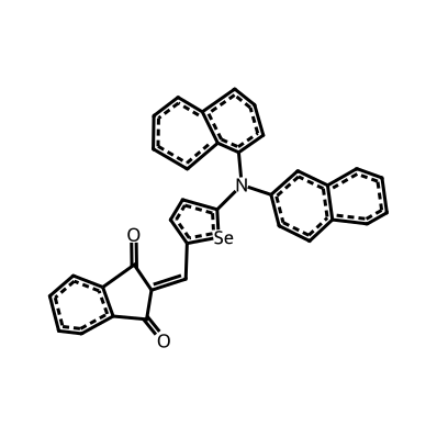 O=C1C(=Cc2ccc(N(c3ccc4ccccc4c3)c3cccc4ccccc34)[se]2)C(=O)c2ccccc21